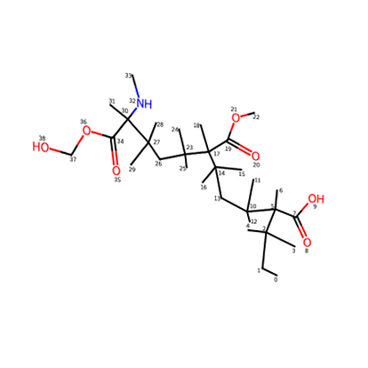 CCC(C)(C)C(C)(C(=O)O)C(C)(C)CC(C)(C)C(C)(C(=O)OC)C(C)(C)CC(C)(C)C(C)(NC)C(=O)OCO